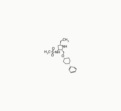 CC[C@@H]1C[C@H](NS(C)(=O)=O)[C@H](CO[C@H]2CC[C@@H](c3ccccc3)CC2)N1